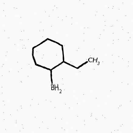 BC1CCCCC1CC